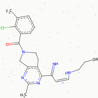 COCCN/C=C\C(=N)c1nc(C)nc2c1CCN(C(=O)c1cccc(C(F)(F)F)c1Cl)C2